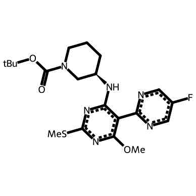 COc1nc(SC)nc(N[C@@H]2CCCN(C(=O)OC(C)(C)C)C2)c1-c1ncc(F)cn1